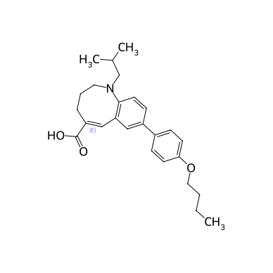 CCCCOc1ccc(-c2ccc3c(c2)/C=C(/C(=O)O)CCCN3CC(C)C)cc1